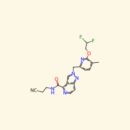 Cc1ccc(Cn2cc3c(C(=O)NCCC#N)nccc3n2)nc1OCC(F)F